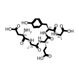 C[C@H](NC(=O)[C@H](Cc1ccc(O)cc1)NC(=O)[C@H](CCC(=O)O)NC(=O)[C@H](C)NC(=O)[C@@H](N)CC(=O)O)C(=O)O